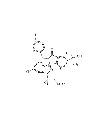 CC(=O)NCC1(CO[C@]2(c3ccc(Cl)cc3)c3c(F)cc(C(C)(C)O)cc3C(=O)N2Cc2ccc(Cl)cn2)CC1